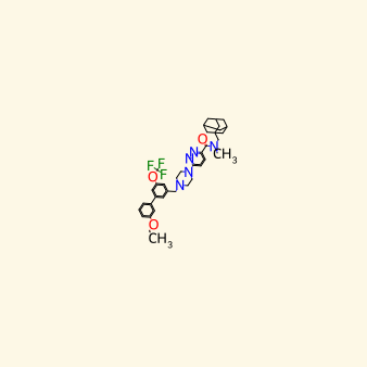 CCOc1cccc(-c2cc(CN3CCN(c4ccc(C(=O)N(C)CC56CC7CC(CC(C7)C5)C6)nn4)CC3)cc(OC(F)(F)F)c2)c1